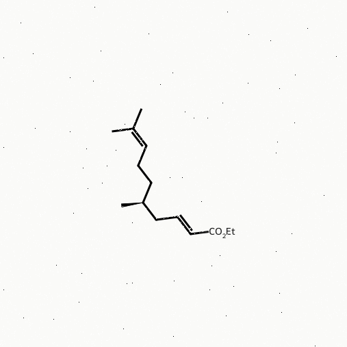 CCOC(=O)C=CC[C@@H](C)CCC=C(C)C